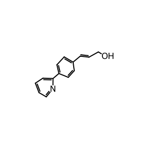 OCC=Cc1ccc(-c2ccccn2)cc1